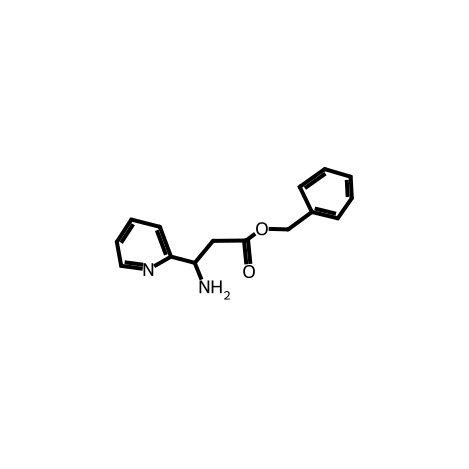 NC(CC(=O)OCc1ccccc1)c1ccccn1